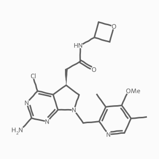 COc1c(C)cnc(CN2C[C@H](CC(=O)NC3COC3)c3c(Cl)nc(N)nc32)c1C